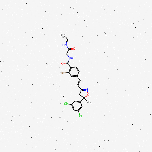 O=C(CNC(=O)c1ccc(/C=C/C2=NOC(c3cc(Cl)cc(Cl)c3)(C(F)(F)F)C2)cc1Br)NCC(F)(F)F